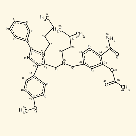 CCCCn1c(-c2ccccc2)nc(-c2ccc(OC)cc2)c1CN(CCC(C)C)Cc1ccc(C(N)=O)c(OC(C)=O)c1